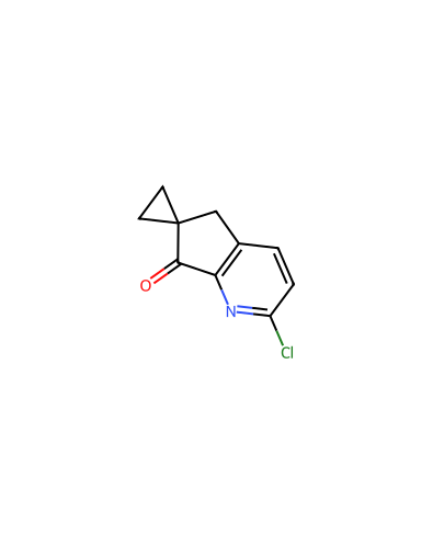 O=C1c2nc(Cl)ccc2CC12CC2